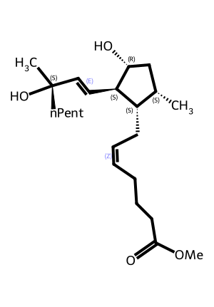 CCCCC[C@](C)(O)/C=C/[C@@H]1[C@@H](C/C=C\CCCC(=O)OC)[C@@H](C)C[C@H]1O